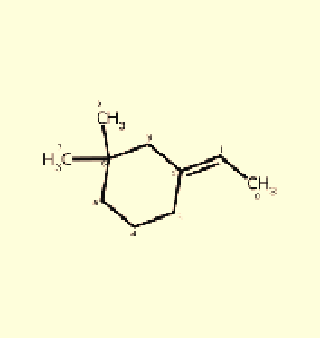 CC=C1CCCC(C)(C)C1